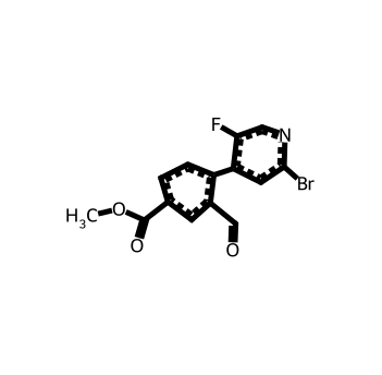 COC(=O)c1ccc(-c2cc(Br)ncc2F)c(C=O)c1